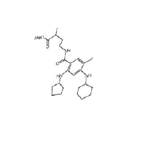 COC(=O)C(C)CCNC(=O)c1cc(F)c(NC2CCCCC2)cc1NC1CCCC1